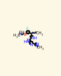 C/C=C/C=C(/c1cc(F)cc(OCCN(C)C)c1)c1c[nH]c(-c2n[nH]c3cnc(-c4cnn(C)c4)cc23)c1